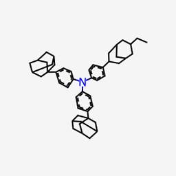 CCC1CC2CC(C1)CC(c1ccc(N(c3ccc(C45CC6CC(CC(C6)C4)C5)cc3)c3ccc(C45CC6CC(CC(C6)C4)C5)cc3)cc1)C2